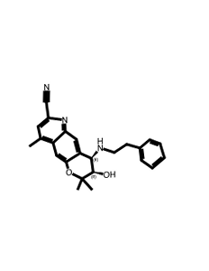 Cc1cc(C#N)nc2cc3c(cc12)OC(C)(C)[C@H](O)[C@@H]3NCCc1ccccc1